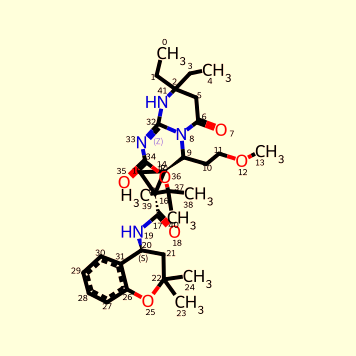 CCC1(CC)CC(=O)N(C(CCOC)[C@@H]2C[C@H]2C(=O)N[C@H]2CC(C)(C)Oc3ccccc32)/C(=N\C(=O)OC(C)(C)C)N1